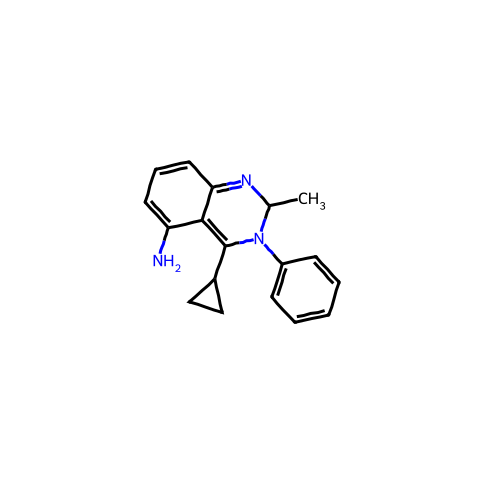 CC1N=c2cccc(N)c2=C(C2CC2)N1c1ccccc1